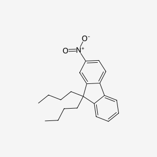 CCCCC1(CCCC)c2ccccc2-c2ccc([N+](=O)[O-])cc21